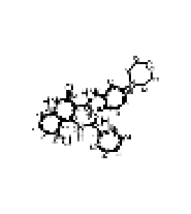 CC(Nc1c(-c2nc3ccc(N4CCOCC4)cc3[nH]2)c(=O)[nH]c2cccc(Cl)c12)c1ccccn1